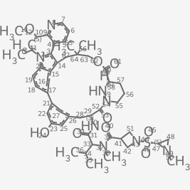 CCn1c(-c2cccnc2[C@H](C)OC)c2c3cc(ccc31)-c1cc(O)cc(c1)C[C@H](NC(=O)C(C(C)C)N(C)C(=O)C1CN(S(=O)(=O)[C@H]3CN3C)C1)C(=O)N1CCC[C@H](N1)C(=O)OCC(C)(C)C2